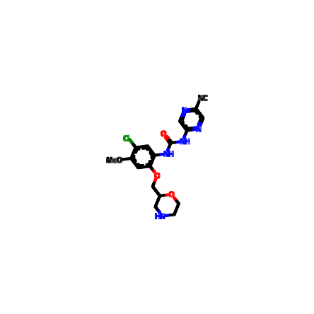 [C-]#[N+]c1cnc(NC(=O)Nc2cc(Cl)c(OC)cc2OCC2CNCCO2)cn1